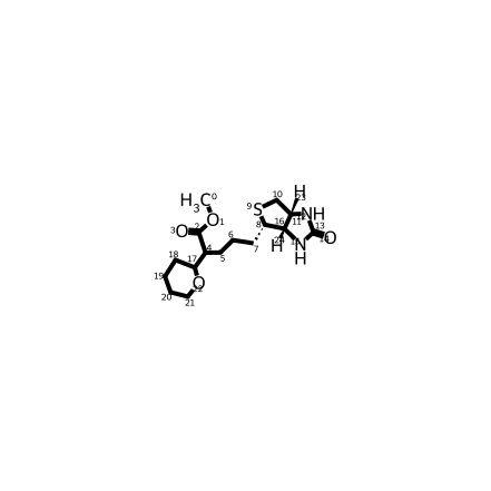 COC(=O)C(CCC[C@@H]1SC[C@@H]2NC(=O)N[C@@H]21)C1CCCCO1